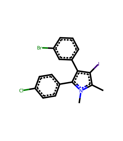 Cc1c(I)c(-c2cccc(Br)c2)c(-c2ccc(Cl)cc2)n1C